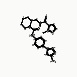 Cn1nccc1C(=O)NC[C@@H]1COCCN1C(=O)Nc1ccc(-c2noc(C(F)(F)F)n2)cc1